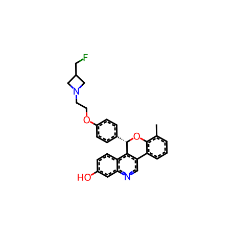 Cc1cccc2c1O[C@@H](c1ccc(OCCN3CC(CF)C3)cc1)c1c-2cnc2cc(O)ccc12